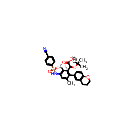 Cc1cc(NS(=O)(=O)c2ccc(C#N)cc2)c(C)c(C(OC(C)(C)C)C(=O)O)c1-c1ccc2c(c1)CCCO2